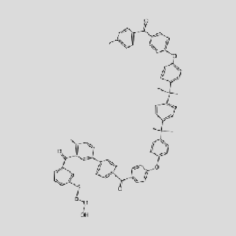 Cc1ccc(C(=O)c2ccc(Oc3ccc(C(C)(C)c4ccc(C(C)(C)c5ccc(Oc6ccc(C(=O)c7ccc(-c8ccc(C)c(C(=O)c9cccc(SOOO)c9)c8)cc7)cc6)cc5)cc4)cc3)cc2)cc1